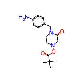 CC(C)(C)C(=O)ON1CCN(Cc2ccc(N)cc2)C(=O)C1